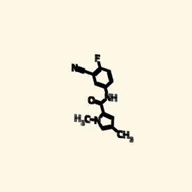 Cc1cc(C(=O)Nc2ccc(F)c(C#N)c2)n(C)c1